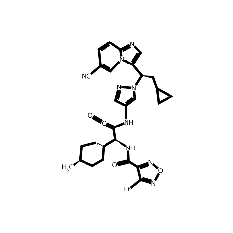 CCc1nonc1C(=O)N[C@H](C(=C=O)Nc1cnn([C@H](CC2CC2)c2cnc3ccc(C#N)cn23)c1)[C@H]1CC[C@H](C)CC1